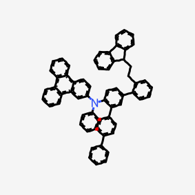 c1ccc(-c2ccc(-c3cc(-c4ccccc4CCC4c5ccccc5-c5ccccc54)ccc3N(c3ccccc3)c3ccc4c5ccccc5c5ccccc5c4c3)cc2)cc1